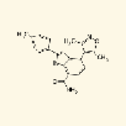 Cc1ccc(-c2cc3c(-c4c(C)noc4C)ccc(C(N)=O)c3[nH]2)cc1